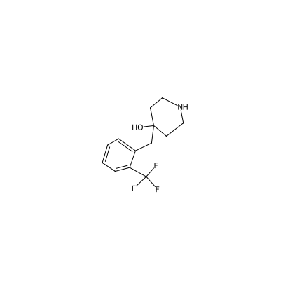 OC1(Cc2ccccc2C(F)(F)F)CCNCC1